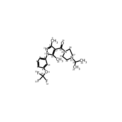 Cc1nn(-c2cccc(OC(F)(F)F)c2)c(C)c1C(=O)N1CCN(C(C)C)CC1